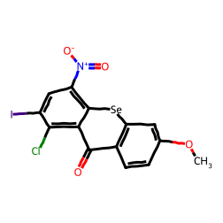 COc1ccc2c(=O)c3c(Cl)c(I)cc([N+](=O)[O-])c3[se]c2c1